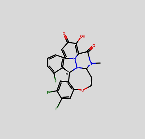 CN1C(=O)c2c(O)c(=O)ccn2N2C1CCOc1cc(F)c(F)cc1[C@H]2c1ccccc1F